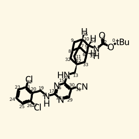 CC(C)(C)OC(=O)N[C@@H]1[C@@H]2CC3C[C@H]1C[C@@](CNc1nc(NCc4c(Cl)cccc4Cl)ncc1C#N)(C3)C2